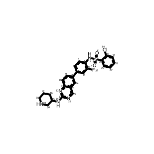 O=S(=O)(Nc1ccc(-c2ccc3nc(NC4CCCNC4)ncc3c2)cc1F)c1ccccc1Cl